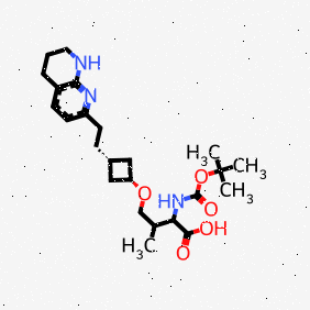 CC(CO[C@H]1C[C@H](CCc2ccc3c(n2)NCCC3)C1)C(NC(=O)OC(C)(C)C)C(=O)O